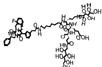 Cc1c(-c2cccc(CCC(=O)NCCCCCCCC(=O)N[C@H](CCCNC[C@H](O)[C@@H](O)[C@H](O)[C@H](O)CO)C(=O)N[C@H](CCCC(=O)O)C(=O)N[C@@H](C=O)CCC(=O)NC[C@H](O)[C@@H](O)[C@H](O)[C@H](O)CO)c2)c(=O)n(C[C@@H](N)c2ccccc2)c(=O)n1Cc1c(F)cccc1F